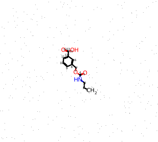 [CH2]CCNC(=O)OCc1cccc(C(=O)O)c1